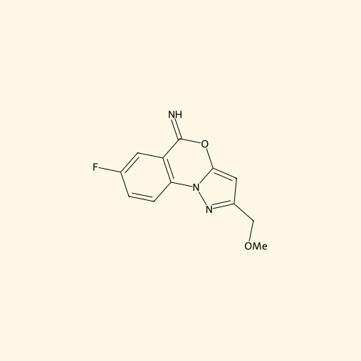 COCc1cc2oc(=N)c3cc(F)ccc3n2n1